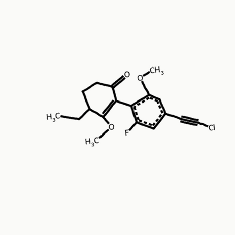 CCC1CCC(=O)C(c2c(F)cc(C#CCl)cc2OC)=C1OC